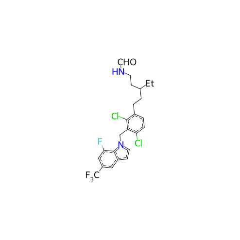 CCC(CCNC=O)CCc1ccc(Cl)c(Cn2ccc3cc(C(F)(F)F)cc(F)c32)c1Cl